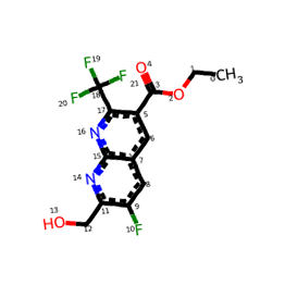 CCOC(=O)c1cc2cc(F)c(CO)nc2nc1C(F)(F)F